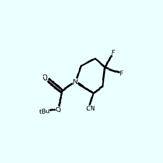 CC(C)(C)OC(=O)N1CCC(F)(F)CC1C#N